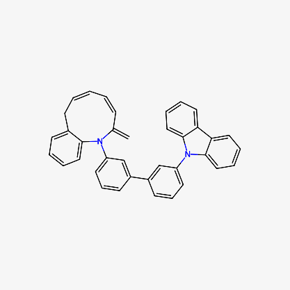 C=C1/C=C\C=C/Cc2ccccc2N1c1cccc(-c2cccc(-n3c4ccccc4c4ccccc43)c2)c1